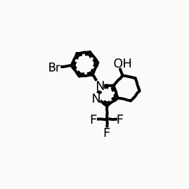 OC1CCCc2c(C(F)(F)F)nn(-c3cccc(Br)c3)c21